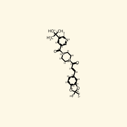 CC(C)(O)c1cncc(C(=O)N2CCN(C(=O)/C=C/c3ccc4c(c3)OC(F)(F)O4)CC2)c1